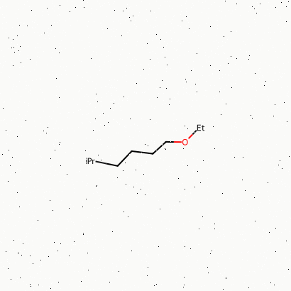 CCOCCCCC(C)C